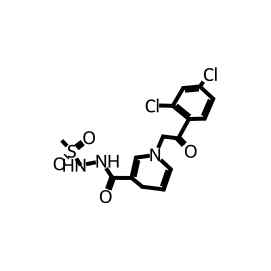 CS(=O)(=O)NNC(=O)C1=CN(CC(=O)c2ccc(Cl)cc2Cl)C=CC1